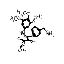 C=C(C(=O)OCC)[C@@H](Nc1cc(OC)c(OC)c(OC)c1)c1ccc(CN)cc1